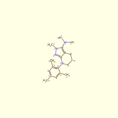 CCCN(CCC)c1c2c(nn1C)N(c1c(C)cc(C)cc1C)CCC2